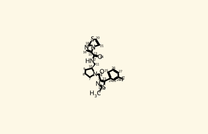 Cc1nc(C(=O)N2CCC[C@H]2CNC(=O)c2cnc3sccn23)c(-c2cccc(F)c2)s1